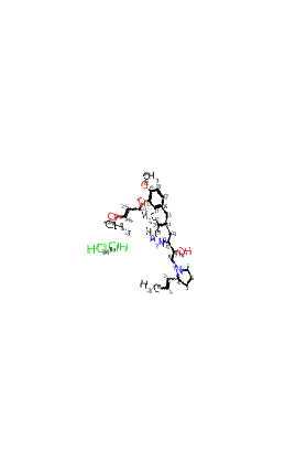 CCC[C@@H]1CCCN1C[C@H](O)[C@@H](N)C[C@H](Cc1ccc(OC)c(OCCCOC)c1)C(C)C.Cl.Cl